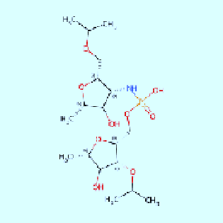 CC(C)OC[C@H]1O[C@@H](C)C(O)[C@H]1NP(=O)(O)OC[C@H]1O[C@@H](C)C(O)[C@H]1OC(C)C